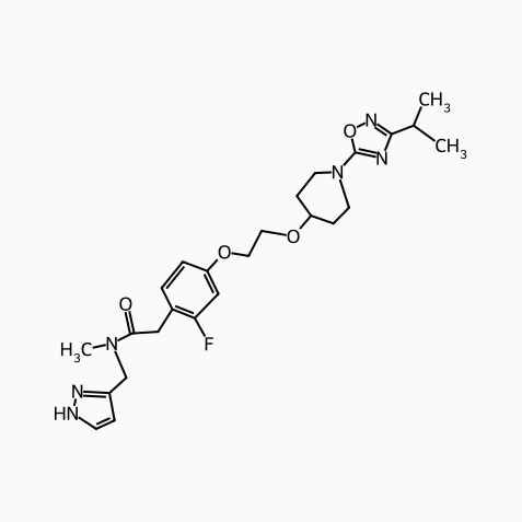 CC(C)c1noc(N2CCC(OCCOc3ccc(CC(=O)N(C)Cc4cc[nH]n4)c(F)c3)CC2)n1